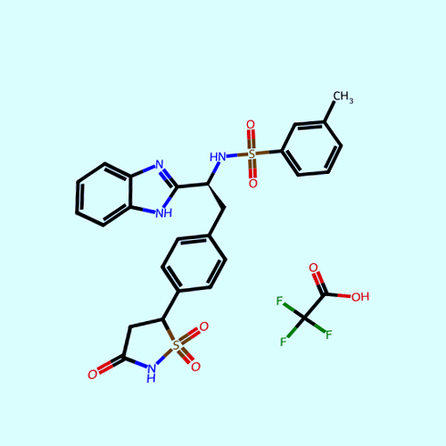 Cc1cccc(S(=O)(=O)N[C@@H](Cc2ccc(C3CC(=O)NS3(=O)=O)cc2)c2nc3ccccc3[nH]2)c1.O=C(O)C(F)(F)F